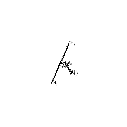 CCCCCCCCCCCCCCCCC(=CC(C)C(C)C(C)C(=O)NCCCCN(C)C)CCCCCCCCCCCCCCCC